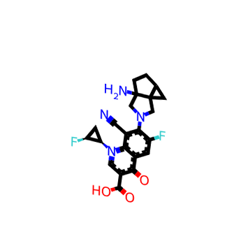 N#Cc1c(N2CC3(N)CCC4CC43C2)c(F)cc2c(=O)c(C(=O)O)cn([C@@H]3C[C@@H]3F)c12